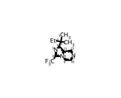 CCC(C)(C)c1nc(C(F)(F)F)n2ccncc12